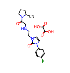 N#CC1CCCN1C(=O)CNCCn1ccn(-c2ccc(F)cc2)c1=O.O=C(O)C(=O)O